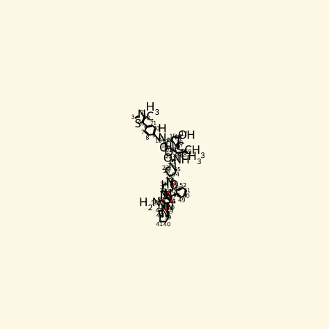 Cc1ncsc1-c1ccc(CNC(=O)[C@@H]2C[C@@H](O)CN2C(=O)C(NC(=O)N2CCC(N3CCC(c4cnc(N5C6CCC5CN(c5cc(-c7ccccc7O)nnc5N)C6)nc4)CC3)CC2)C(C)(C)C)cc1